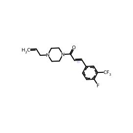 C=CCN1CCN(C(=O)/C=C/c2ccc(F)c(C(F)(F)F)c2)CC1